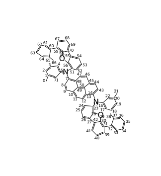 Cc1cccc(N(c2ccc3ccc4c(N(c5cccc(C)c5)c5cccc6c5oc5c(-c7ccccc7C)cccc56)ccc5ccc2c3c54)c2cccc3c2oc2c(-c4ccccc4C)cccc23)c1